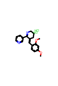 COc1ccc(C=C2CCCN=C2c2cccnc2)c(OC)c1.Cl.Cl